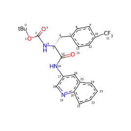 CC(C)(C)OC(=O)N[C@H](Cc1ccc(C(F)(F)F)cc1)C(=O)Nc1cnc2ccccc2c1